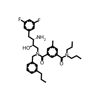 CCCc1cccc(CN(C[C@@H](O)[C@@H](N)Cc2cc(F)cc(F)c2)C(=O)c2cc(C)cc(C(=O)N(CCC)CCC)c2)c1